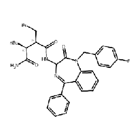 CCCC[C@H](C(N)=O)[C@@H](CC(C)C)C(=O)NC1N=C(c2ccccc2)c2ccccc2N(Cc2ccc(F)cc2)C1=O